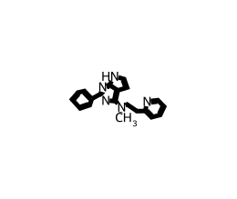 CN(CCc1ccccn1)c1nc(-c2ccccc2)nc2[nH]ccc12